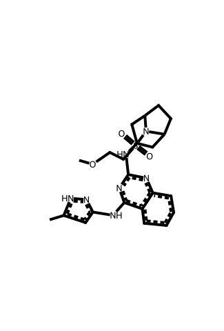 COCCS(=O)(=O)N1C2CCC1CC(Nc1nc(Nc3cc(C)[nH]n3)c3ccccc3n1)C2